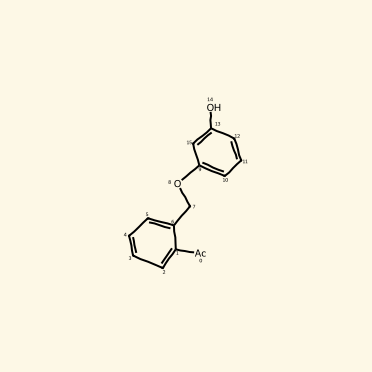 CC(=O)c1ccccc1COc1cccc(O)c1